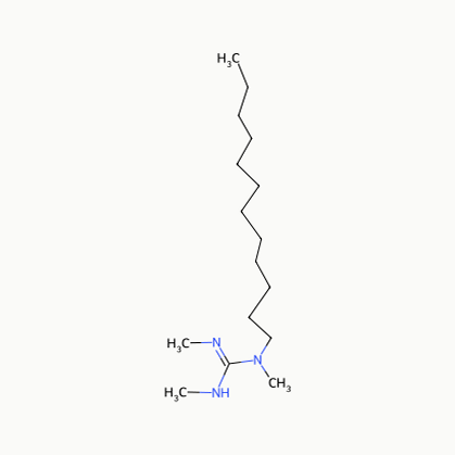 CCCCCCCCCCCCN(C)C(=NC)NC